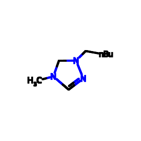 CCCCCN1CN(C)C=N1